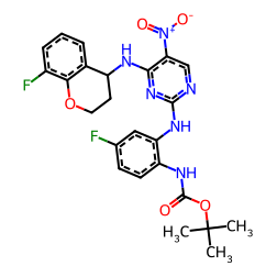 CC(C)(C)OC(=O)Nc1ccc(F)cc1Nc1ncc([N+](=O)[O-])c(NC2CCOc3c(F)cccc32)n1